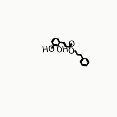 O=C(/C=C/c1cccc(O)c1O)OCCCc1ccccc1